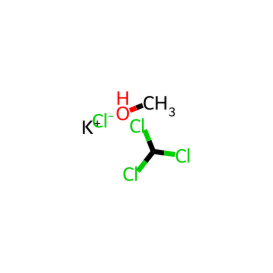 CO.ClC(Cl)Cl.[Cl-].[K+]